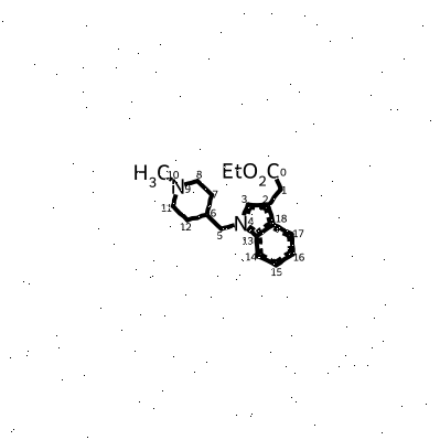 CCOC(=O)Cc1cn(CC2CCN(C)CC2)c2ccccc12